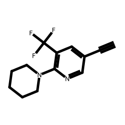 C#Cc1cnc(N2CCCCC2)c(C(F)(F)F)c1